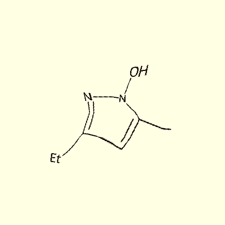 CCc1cc(C)n(O)n1